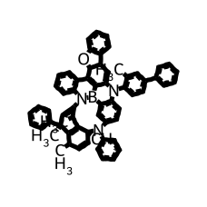 Cc1cc(-c2ccccc2)ccc1N1C2=CC3c4ccccc4OC3C3=C2B2c4cc(ccc41)N(c1ccccc1)C1(C)C=CC(C)C4=C1C(C)C(=CC4(C)c1ccccc1)N2c1ccccc13